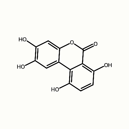 O=c1oc2cc(O)c(O)cc2c2c(O)ccc(O)c12